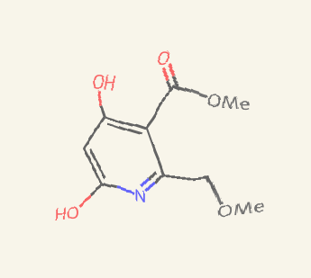 COCc1nc(O)cc(O)c1C(=O)OC